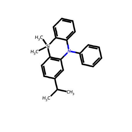 CC(C)c1ccc2c(c1)N(c1ccccc1)c1ccccc1[Si]2(C)C